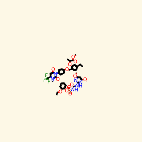 CCOc1ccccc1OS(=O)(=O)NC(=O)Nc1nc(OC)cc(OC)n1.CCc1ccc(COc2ccc(-n3c(=O)cc(C(F)(F)F)n(C)c3=O)cc2)c(OC(C)C(=O)OC)c1